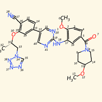 COc1ccc(C(=O)N2CCC(OC)CC2)cc1Nc1ncc(-c2ccc(C#N)c(O[C@@H](C)Cn3cnnn3)c2)cn1